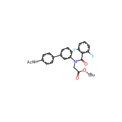 CC(=O)Nc1ccc(-c2cccc(N(CC(=O)OC(C)(C)C)C(=O)c3c(F)cccc3F)c2)cc1